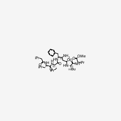 CC[C@H](C)[C@H](NC(=O)C[C@H](N)[C@H](Cc1ccccc1)NC(=O)[C@H](CC(C)C)NC(=O)[C@H](CC(C)C)NC(=O)CC(C)C)C(=O)NC(C(=O)OC)C(C)C